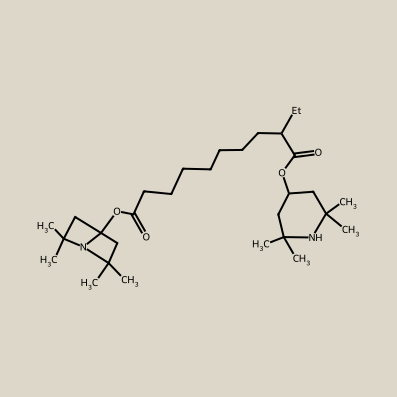 CCC(CCCCCCCC(=O)OC12CC(C)(C)N1C(C)(C)C2)C(=O)OC1CC(C)(C)NC(C)(C)C1